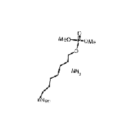 CCCCCCCCCCCCCCCCOP(=O)(OC)OC.N